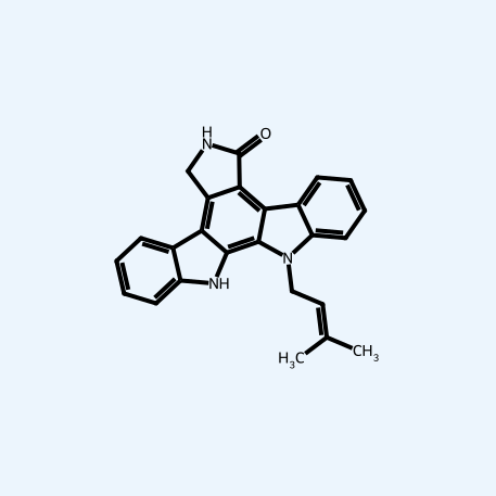 CC(C)=CCn1c2ccccc2c2c3c(c4c5ccccc5[nH]c4c21)CNC3=O